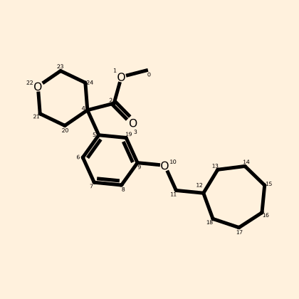 COC(=O)C1(c2cccc(OCC3CCCCCC3)c2)CCOCC1